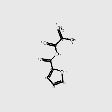 C=C(O)C(=O)OC(=O)c1ccco1